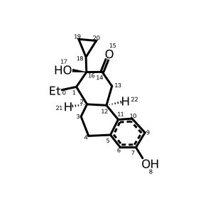 CCC1[C@@H]2CCc3cc(O)ccc3[C@@H]2CC(=O)[C@@]1(O)C1CC1